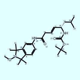 CON1C(C)(C)c2ccc(NC(=O)C/C=C/[C@H](CC(C)C)NC(=O)OC(C)(C)C)cc2C1(C)C